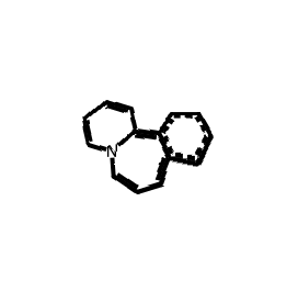 C1=CC2=c3ccccc3=CC=CN2C=C1